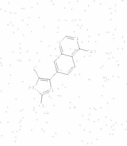 Cc1nc(-c2ccc3c(N)ncnc3c2)c(Cl)[nH]1